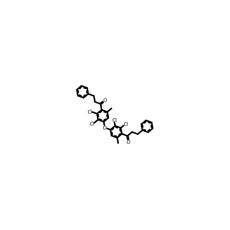 Cc1cc(Oc2cc(C)c(C(=O)CCc3ccccc3)c(Cl)c2Cl)c(Cl)c(Cl)c1C(=O)CCc1ccccc1